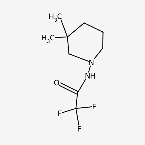 CC1(C)CCCN(NC(=O)C(F)(F)F)C1